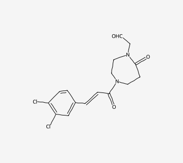 O=CCN1CCN(C(=O)/C=C/c2ccc(Cl)c(Cl)c2)CCC1=O